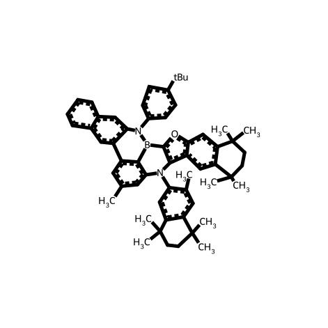 Cc1cc2c3c(c1)N(c1cc4c(cc1C)C(C)(C)CCC4(C)C)c1c(oc4cc5c(cc14)C(C)(C)CCC5(C)C)B3N(c1ccc(C(C)(C)C)cc1)c1cc3ccccc3cc1-2